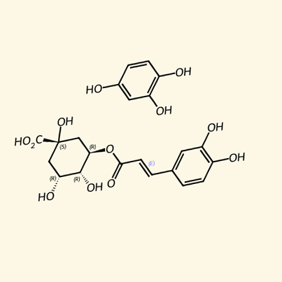 O=C(/C=C/c1ccc(O)c(O)c1)O[C@@H]1C[C@](O)(C(=O)O)C[C@@H](O)[C@H]1O.Oc1ccc(O)c(O)c1